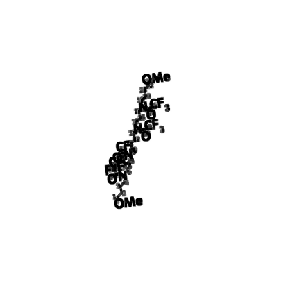 COCCCCN(CCCN(CCCCN(CCCN(CCCCOC)C(=O)C(F)(F)F)C(=O)C(F)(F)F)C(=O)C(F)(F)F)C(=O)C(C)(F)F